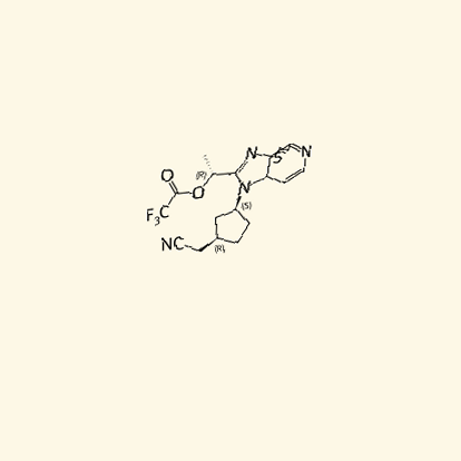 C[C@@H](OC(=O)C(F)(F)F)C1=NC23SC=CC2=NC=CC3N1[C@H]1CC[C@@H](CC#N)C1